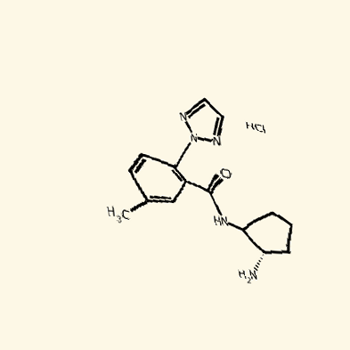 Cc1ccc(-n2nccn2)c(C(=O)NC2CCC[C@@H]2N)c1.Cl